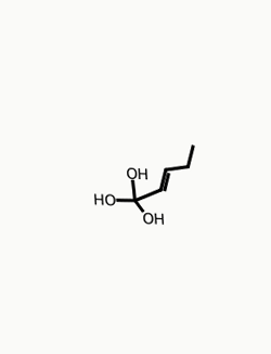 CCC=CC(O)(O)O